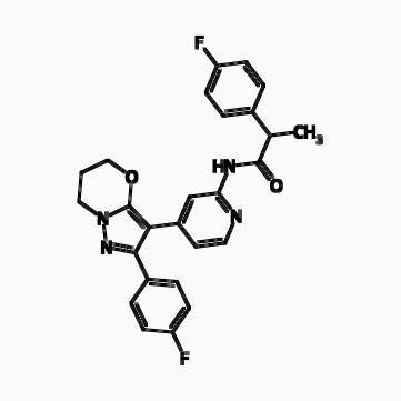 CC(C(=O)Nc1cc(-c2c(-c3ccc(F)cc3)nn3c2OCCC3)ccn1)c1ccc(F)cc1